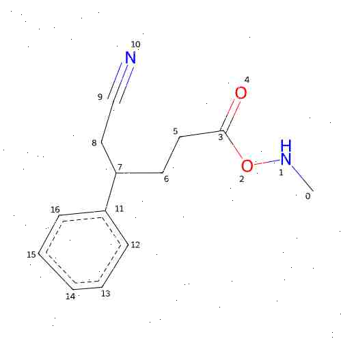 CNOC(=O)CCC(CC#N)c1ccccc1